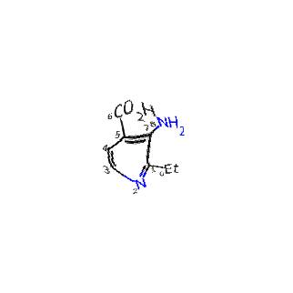 CCc1nccc(C(=O)O)c1N